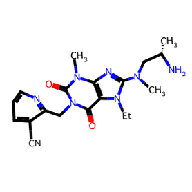 CCn1c(N(C)C[C@H](C)N)nc2c1c(=O)n(Cc1ncccc1C#N)c(=O)n2C